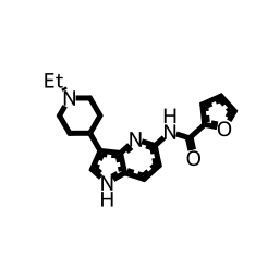 CCN1CCC(c2c[nH]c3ccc(NC(=O)c4ccco4)nc23)CC1